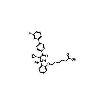 [2H]C([2H])(c1ccccc1OCCCCCC(=O)O)N(C(=O)c1ccc(-c2cccc(F)c2)cc1)C1CC1